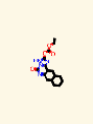 CCOC(=O)Oc1nc2c3c(nc(=O)n2[nH]1)CC1CCCCC1C3